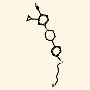 N#Cc1ccc(N2CCC(c3ccc(OCCCCBr)cc3)CC2)cc1C1CC1